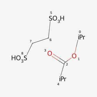 CC(C)OC(=O)C(C)C.O=S(=O)(O)CCS(=O)(=O)O